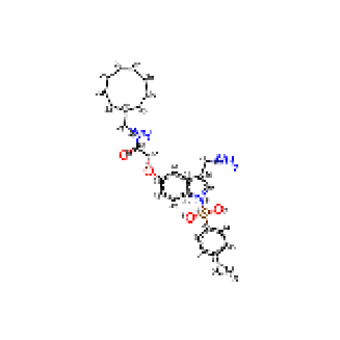 Cc1ccc(S(=O)(=O)n2cc(CN)c3cc(OCC(=O)NCC4CCCCCCCC4)ccc32)cc1